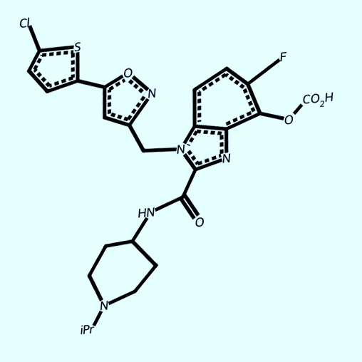 CC(C)N1CCC(NC(=O)c2nc3c(OC(=O)O)c(F)ccc3n2Cc2cc(-c3ccc(Cl)s3)on2)CC1